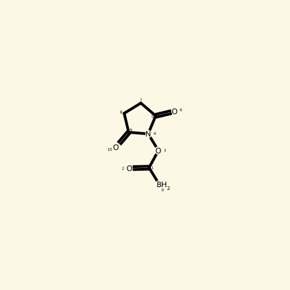 BC(=O)ON1C(=O)CCC1=O